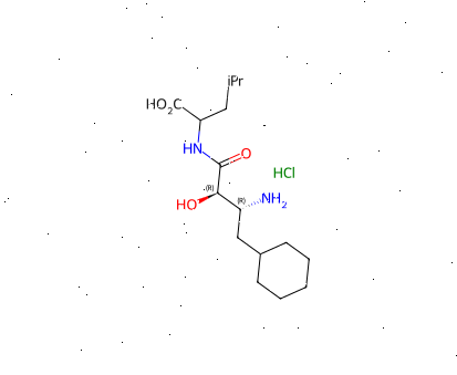 CC(C)CC(NC(=O)[C@H](O)[C@H](N)CC1CCCCC1)C(=O)O.Cl